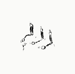 O=P[O-].O=P[O-].O=P[O-].[Y+3]